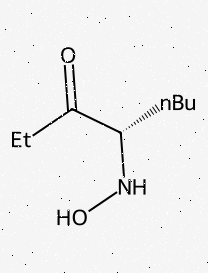 CCCC[C@H](NO)C(=O)CC